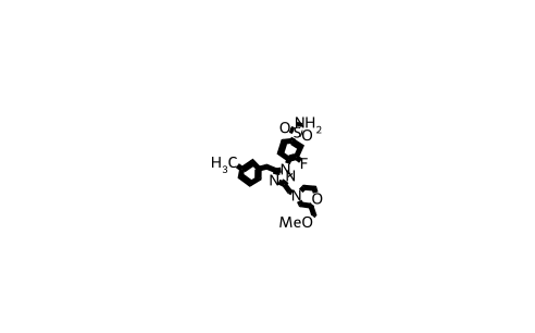 COCC1CN(Cc2nc(Cc3cccc(C)c3)n(-c3ccc(S(N)(=O)=O)cc3F)n2)CCO1